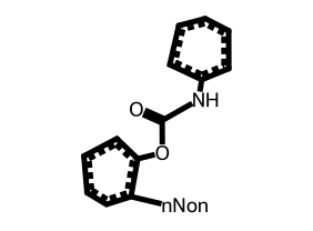 CCCCCCCCCc1ccccc1OC(=O)Nc1ccccc1